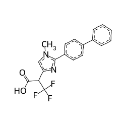 Cn1cc(C(C(=O)O)C(F)(F)F)nc1-c1ccc(-c2ccccc2)cc1